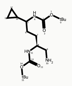 CC(C)(C)OC(=O)NC(CC[C@@H](CN)NC(=O)OC(C)(C)C)C1CC1